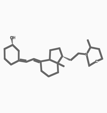 CC1CCCCN1CC[C@H]1CCC2/C(=C/C=C3/CCC[C@H](O)C3)CCCC21C